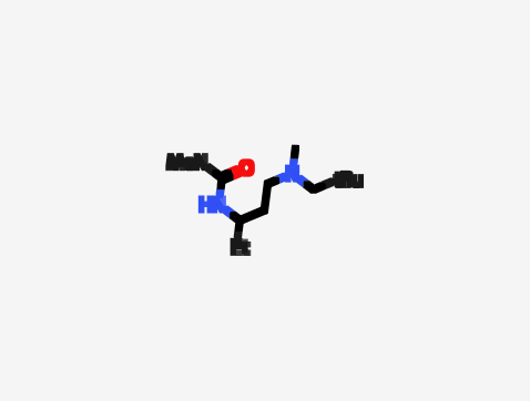 CCC(CCN(C)CC(C)(C)C)NC(=O)NC